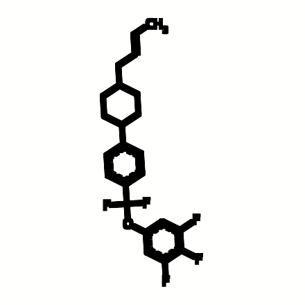 CC=CCC1CCC(c2ccc(C(F)(F)Oc3cc(F)c(F)c(F)c3)cc2)CC1